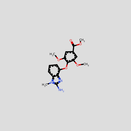 COC(=O)c1cc(OC)c(Oc2cccc3c2nc(N)n3C)c(OC)c1